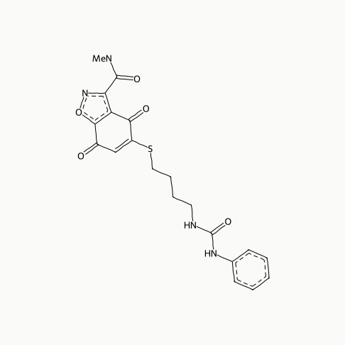 CNC(=O)c1noc2c1C(=O)C(SCCCCNC(=O)Nc1ccccc1)=CC2=O